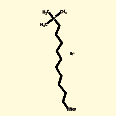 CCCCCCCCCCCCCCCCCCC[P+](C)(C)C.[Br-]